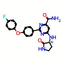 NC(=O)c1cc(N[C@H]2CCNC2=O)nc(-c2ccc(Oc3ccc(F)cc3)cc2)n1